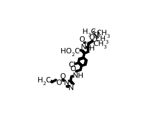 C=CCOC(=O)n1cncc1CNC(=O)Cc1ccc(C2=C(C(=O)O)N3C(=O)[C@H]([C@@H](C)O[Si](C)(C)C)[C@H]3C2)cc1Cl